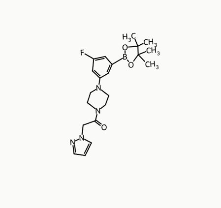 CC1(C)OB(c2cc(F)cc(N3CCN(C(=O)Cn4cccn4)CC3)c2)OC1(C)C